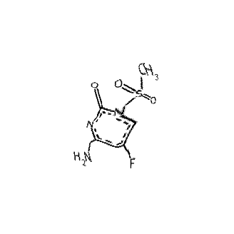 CS(=O)(=O)n1cc(F)c(N)nc1=O